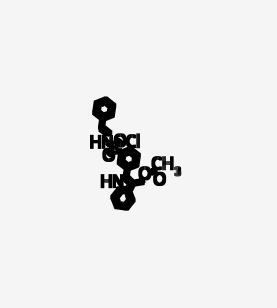 CC(=O)OCc1c(-c2ccc(Cl)c(S(=O)(=O)NC=Cc3ccccc3)c2)[nH]c2ccccc12